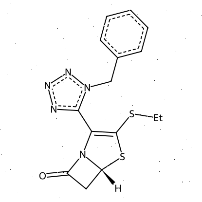 CCSC1=C(c2nnnn2Cc2ccccc2)N2C(=O)C[C@H]2S1